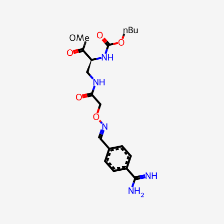 CCCCOC(=O)N[C@@H](CNC(=O)CON=Cc1ccc(C(=N)N)cc1)C(=O)OC